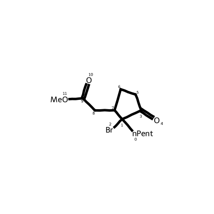 CCCCCC1(Br)C(=O)CCC1CC(=O)OC